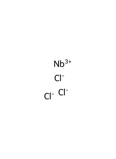 [Cl-].[Cl-].[Cl-].[Nb+3]